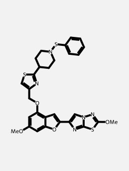 COc1cc(OCc2csc(C3CCN(Sc4ccccc4)CC3)n2)c2cc(-c3cn4nc(OC)sc4n3)oc2c1